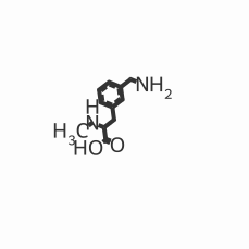 CNC(Cc1cccc(CN)c1)C(=O)O